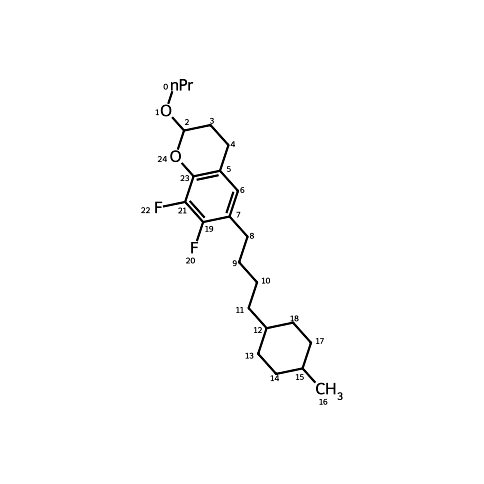 CCCOC1CCc2cc(CCCCC3CCC(C)CC3)c(F)c(F)c2O1